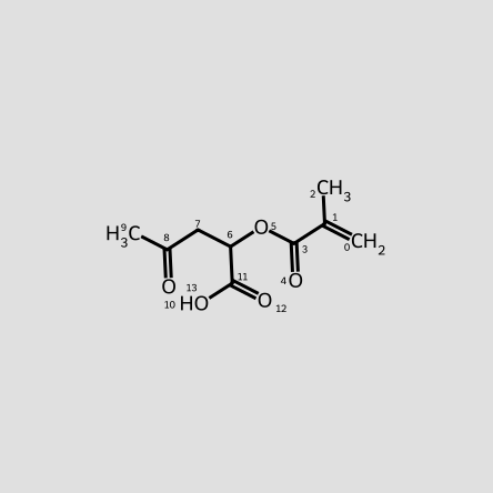 C=C(C)C(=O)OC(CC(C)=O)C(=O)O